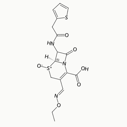 CCON=CC1=C(C(=O)O)N2C(=O)C(NC(=O)Cc3cccs3)[C@@H]2[S+]([O-])C1